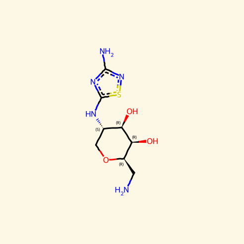 NC[C@H]1OC[C@H](Nc2nc(N)ns2)[C@@H](O)[C@H]1O